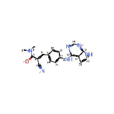 CN(C)C(=O)/C(C#N)=C/c1ccc(Nc2ncnc3[nH]ccc23)cc1